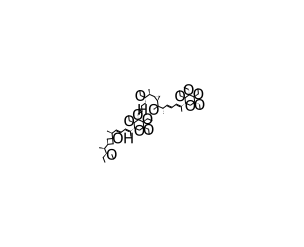 CC[C@H](OC)[C@@H](C)[C@H]1C[C@@](O)([C@@H](C)/C=C/C=C(\C)[C@H]2O[C@H](OC)[C@H](OC)[C@@H](OCCC[C@H](OC)[C@@H](C)[C@@H]3C[C@H]3[C@H](O)[C@@H](C)/C=C/C=C(\C)[C@H]3O[C@@H](OC)[C@H](OC)[C@@H](OC)[C@@H]3OC)[C@@H]2OC)C1